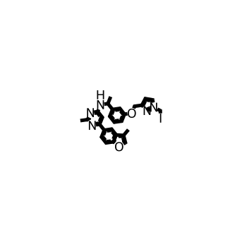 Cc1nc(NC(C)c2cccc(OCc3ccn(CI)n3)c2)cc(-c2ccc3occ(C)c3c2)n1